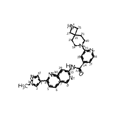 Cn1cc(-c2ccc3cnc(NC(=O)c4ccnc(N5CCC6(CC5)CNC6)c4)cc3n2)cn1